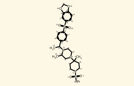 CCCS(=O)(=O)N1CCC(C)(N2CCN(C(C)c3ccc(S(=O)(=O)c4ccc5c(c4)OCO5)cc3)C(C)C2)CC1